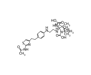 CC(=O)Nc1nc(CCc2ccc(NCCNC(NC(=O)O)(N(C(=O)O)C(C)(C)C)C(C)(C)C)cc2)cs1